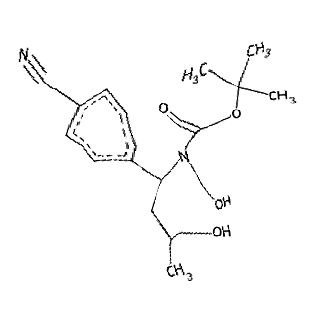 CC(O)CC(c1ccc(C#N)cc1)N(O)C(=O)OC(C)(C)C